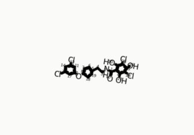 O=C(NCCc1ccc(Oc2cc(Cl)cc(Cl)c2)cc1)c1c(O)c(Cl)c(O)c(Cl)c1O